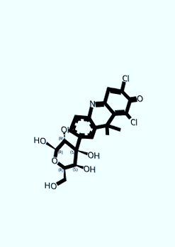 CC1(C)C2=C(Cl)C(=O)C(Cl)=CC2=Nc2ccc([C@@]3(O)[C@@H](O)[C@H](O)O[C@H](CO)[C@@H]3O)cc21